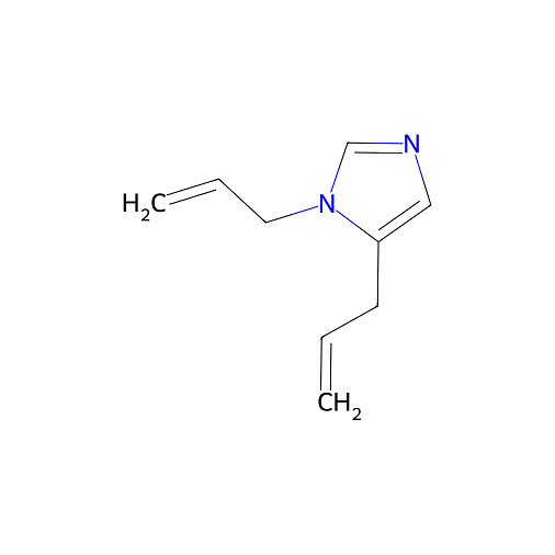 C=CCc1cncn1CC=C